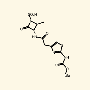 C[C@H]1[C@H](NC(=O)Cc2csc(NC(=O)OC(C)(C)C)n2)C(=O)N1S(=O)(=O)O